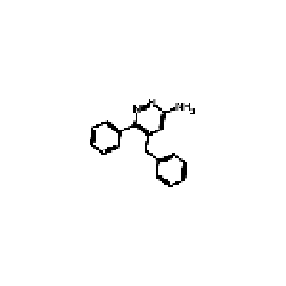 Nc1cc(Cc2ccccc2)c(-c2ccccc2)nn1